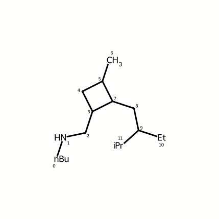 CCCCNCC1CC(C)C1CC(CC)C(C)C